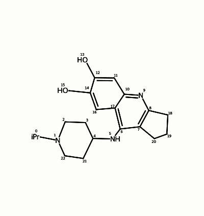 CC(C)N1CCC(Nc2c3c(nc4cc(O)c(O)cc24)CCC3)CC1